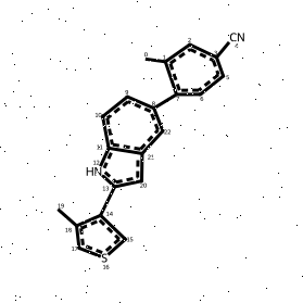 Cc1cc(C#N)ccc1-c1ccc2[nH]c(-c3cscc3C)cc2c1